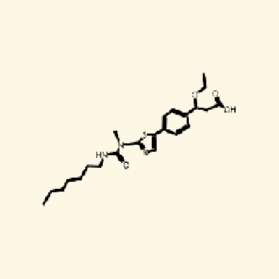 CCCCCCCNC(=O)N(C)c1ncc(-c2ccc(C(CC(=O)O)OCC)cc2)s1